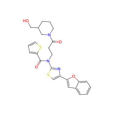 O=C(CCN(C(=O)c1cccs1)c1nc(-c2cc3ccccc3o2)cs1)N1CCCC(CO)C1